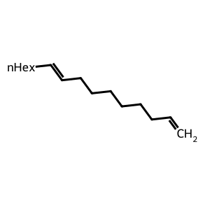 C=CCCCCCCC=CCCCCCC